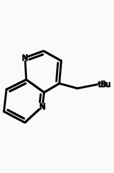 CC(C)(C)Cc1ccnc2cccnc12